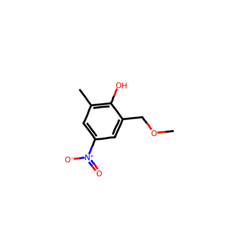 COCc1cc([N+](=O)[O-])cc(C)c1O